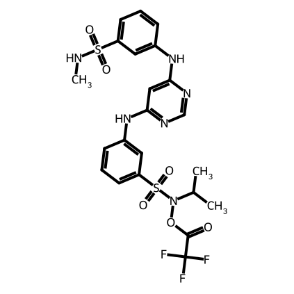 CNS(=O)(=O)c1cccc(Nc2cc(Nc3cccc(S(=O)(=O)N(OC(=O)C(F)(F)F)C(C)C)c3)ncn2)c1